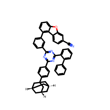 N#Cc1ccc2c(c1)oc1cccc(-c3cccc(-c4nc(-c5ccc(C67C[C@H]8C[C@H](C6)C[C@@H](C7)C8)cc5)nc(-c5ccccc5-c5ccccc5)n4)c3)c12